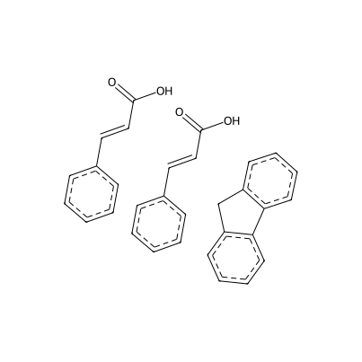 O=C(O)C=Cc1ccccc1.O=C(O)C=Cc1ccccc1.c1ccc2c(c1)Cc1ccccc1-2